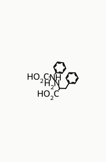 NC(Cc1ccccc1)C(=O)O.O=C(O)Nc1ccccc1